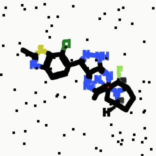 Cc1nc2ccc(-c3n[nH]c4nc(N5C6CC[C@H]5C[C@H](N)[C@@H]6F)c(C)nc34)c(Cl)c2s1